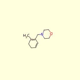 CC1=C(CN2CCOCC2)C=CCC1